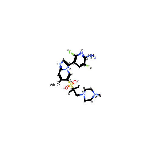 COc1cc2ncc(-c3cc(F)c(N)nc3F)n2cc1S(=O)(=O)C(C)(C)CN1CCN(C)CC1